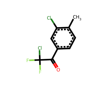 Cc1ccc(C(=O)C(F)(F)Cl)cc1Cl